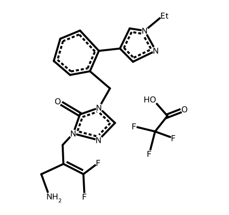 CCn1cc(-c2ccccc2Cn2cnn(CC(CN)=C(F)F)c2=O)cn1.O=C(O)C(F)(F)F